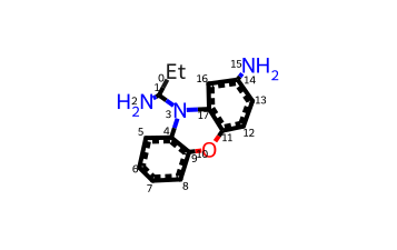 CCC(N)N1c2ccccc2Oc2ccc(N)cc21